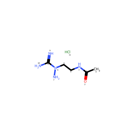 CC(=O)NCCN(N)C(=N)N.Cl